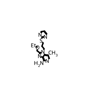 CCOCc1nc2c(N)ncc(C)c2n1CCCSc1ncccn1